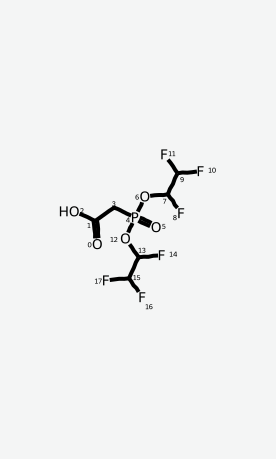 O=C(O)CP(=O)(OC(F)C(F)F)OC(F)C(F)F